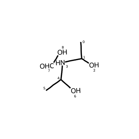 CC(O)NC(C)O.O=CO